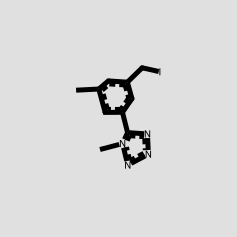 Cc1cc(CI)cc(-c2nnnn2C)c1